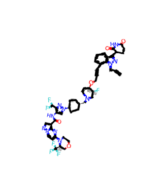 C#CCn1nc(C2CCC(=O)NC2=O)c2cccc(C#CCO[C@@H]3CCN(C[C@H]4CC[C@H](n5cc(NC(=O)c6cnn7ccc(N8CCOC[C@H]8C(F)(F)F)nc67)c(C(F)F)n5)CC4)C[C@@H]3F)c21